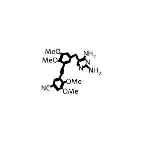 COc1cc(C#N)cc(C#Cc2cc(Cc3cnc(N)nc3N)cc(OC)c2OC)c1OC